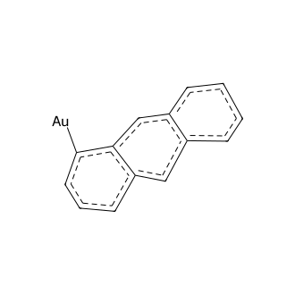 [Au][c]1cccc2cc3ccccc3cc12